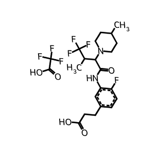 CC1CCN(C(C(=O)Nc2cc(CCC(=O)O)ccc2F)C(C)C(F)(F)F)CC1.O=C(O)C(F)(F)F